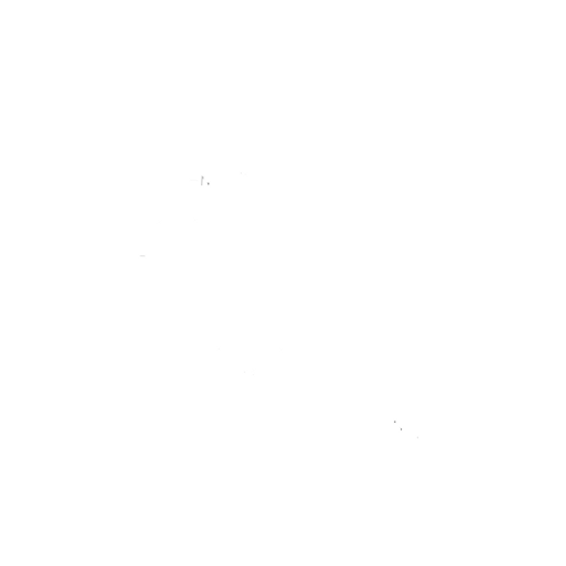 NCC#Cc1cc2c(C3CCC(=O)NC3=O)c(F)ccc2o1